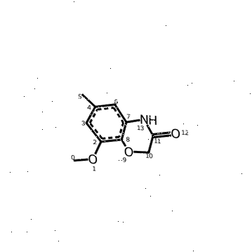 COc1cc(C)cc2c1OCC(=O)N2